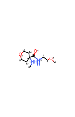 CNC1(C(=O)NCCOC)CCOCC1